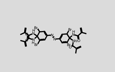 C=C(C)C(=O)NC1(NC(=O)C(=C)C)C(Br)=CC(N=NC2=CC(Br)C(NC(=O)C(=C)C)(NC(=O)C(=C)C)C(Br)=C2)=CC1Br